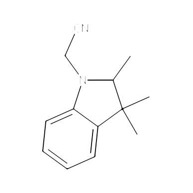 CC1N(CC#N)c2ccccc2C1(C)C